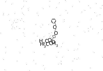 CC(C)(C)OC(=O)C1CC(OCCOCc2ccccc2)C1